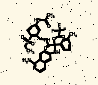 CCS(=O)(=O)c1ccc(NC(C)=O)cc1CNC(=O)C(Nc1ccc2c(N)nccc2c1)(OC(=O)C(F)(F)F)c1cccc(C)c1